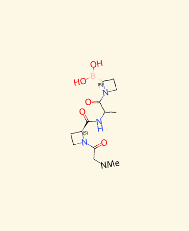 CNCC(=O)N1CC[C@H]1C(=O)NC(C)C(=O)N1CC[C@H]1B(O)O